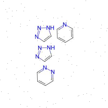 c1c[nH]nn1.c1c[nH]nn1.c1ccncc1.c1ccnnc1